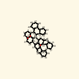 c1ccc(-c2c(N(c3ccc4c(c3)sc3ccccc34)c3ccccc3-c3ccc4c(c3)sc3ccccc34)c3ccccc3c3ccccc23)cc1